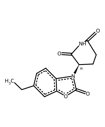 CCc1ccc2c(c1)oc(=O)n2[C@@H]1CCC(=O)NC1=O